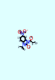 C=C(C)n1c(=O)n(C(=O)CC)c2cc([N+](=O)[O-])ccc21